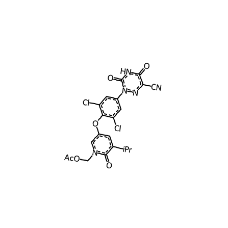 CC(=O)OCn1cc(Oc2c(Cl)cc(-n3nc(C#N)c(=O)[nH]c3=O)cc2Cl)cc(C(C)C)c1=O